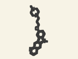 CN1CCN(CCCOc2ccc3c(c2)c2cc4ncccc4cc2n3C)CC1